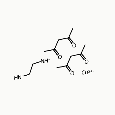 CC(=O)CC(C)=O.CC(=O)CC(C)=O.[Cu+2].[NH-]CC[NH-]